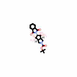 BC1(B)[C@H](N2C(=O)c3ccccc3C2=O)C(B)(B)[C@H]2CN(C(=O)OC(C)(C)C)C[C@H]21